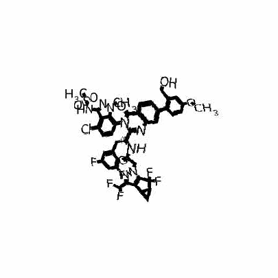 COc1ccc(-c2ccc3c(=O)n(-c4ccc(Cl)c5c(NS(C)(=O)=O)nn(C)c45)c([C@H](Cc4cc(F)cc(F)c4)NC(=O)Cn4nc(C(F)F)c5c4C(F)(F)C4CC54)nc3c2)c(CO)c1